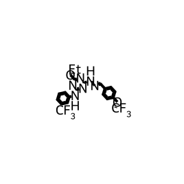 CCOc1nc(N/N=C/c2ccc(OC(F)(F)F)cc2)nc(Nc2cccc(C(F)(F)F)c2)n1